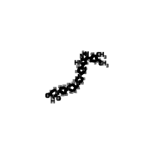 CCc1ccc(-c2ncnc3[nH]c(-c4ccc(N5CCN(CC6CCN(c7ccc(N8CCC(=O)NC8=O)cc7)CC6)CC5)cn4)cc23)cc1C